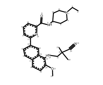 CCN1CCC(NC(=O)c2cccc(-c3ccc4ccc(OC)c(NCC(C)(C)C#N)c4c3)n2)CC1